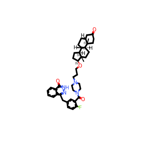 C[C@]12CCC(=O)C[C@@H]1CC[C@@H]1[C@@H]2CC[C@]2(C)[C@@H](OCCCN3CCN(C(=O)c4cc(Cc5n[nH]c(=O)c6ccccc56)ccc4F)CC3)CC[C@@H]12